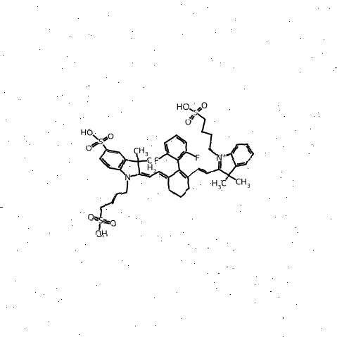 CC1(C)C(/C=C/C2=C(c3c(F)cccc3F)C(=C/C=C3/N(CCCCS(=O)(=O)O)c4ccc(S(=O)(=O)O)cc4C3(C)C)/CCC2)=[N+](CCCCS(=O)(=O)O)c2ccccc21